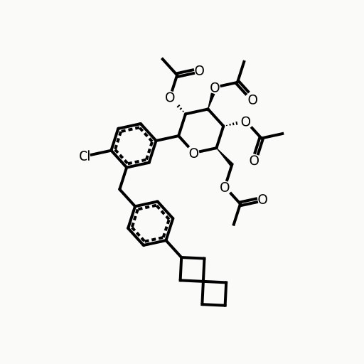 CC(=O)OC[C@H]1OC(c2ccc(Cl)c(Cc3ccc(C4CC5(CCC5)C4)cc3)c2)[C@H](OC(C)=O)[C@@H](OC(C)=O)[C@@H]1OC(C)=O